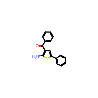 Nc1sc(-c2ccccc2)cc1C(=O)c1ccccc1